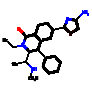 CC(C)Cn1c(C(NC(=O)O)C(C)(C)C)c(-c2ccccc2)c2cc(-c3nc(N)cs3)ccc2c1=O